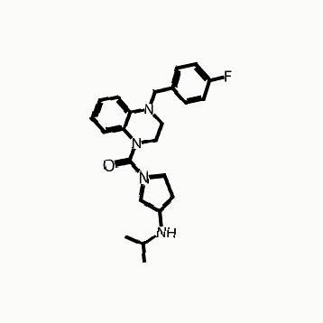 CC(C)NC1CCN(C(=O)N2CCN(Cc3ccc(F)cc3)c3ccccc32)C1